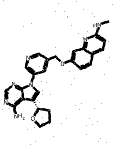 CNc1ccc2ccc(OCc3cncc(-n4cc([C@@H]5CCCO5)c5c(N)ncnc54)c3)cc2n1